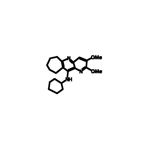 COc1cc2nc3c(c(NC4CCCCC4)c2nc1OC)CCCCC3